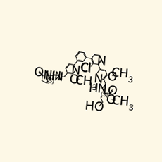 COC(=O)[C@H](CCO)NCc1ncc(-c2nccc(-c3cccc(-c4ccc(CNC[C@@H]5CCC(=O)N5)c(OC)n4)c3Cl)c2Cl)cc1OC